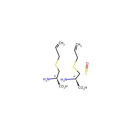 C=CCSC[C@H](N)C(=O)O.C=CCSC[C@H](N)C(=O)O.O=S